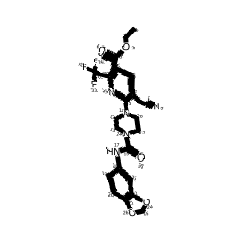 CCOC(=O)c1cc(C#N)c(N2CCN(C(=O)Nc3ccc4c(c3)OCO4)CC2)nc1C(F)(F)F